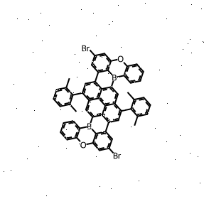 Cc1cccc(C)c1-c1cc2c3c(cc4c(-c5c(C)cccc5C)cc5c6c(cc1c3c46)B1c3ccccc3Oc3cc(Br)cc-5c31)B1c3ccccc3Oc3cc(Br)cc-2c31